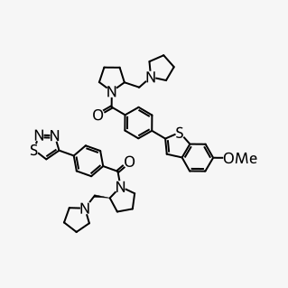 COc1ccc2cc(-c3ccc(C(=O)N4CCCC4CN4CCCC4)cc3)sc2c1.O=C(c1ccc(-c2csnn2)cc1)N1CCC[C@H]1CN1CCCC1